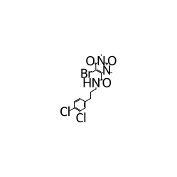 Cn1c(C(=O)NCCCc2ccc(Cl)c(Cl)c2)c(Br)c(=O)n(C)c1=O